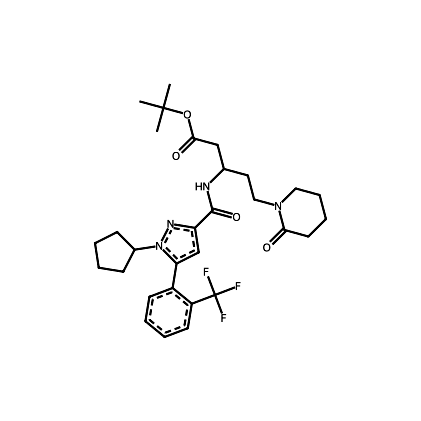 CC(C)(C)OC(=O)CC(CCN1CCCCC1=O)NC(=O)c1cc(-c2ccccc2C(F)(F)F)n(C2CCCC2)n1